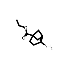 CCOC(=O)C12CCC(N)=C(C1)C2